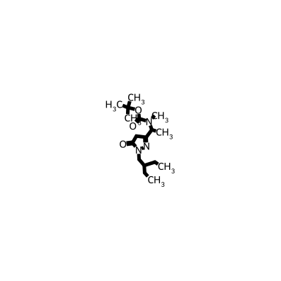 CCC(CC)CN1N=C(C(C)N(C)C(=O)OC(C)(C)C)CC1=O